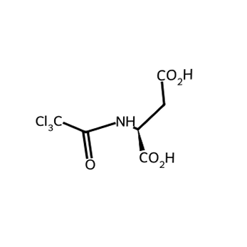 O=C(O)C[C@H](NC(=O)C(Cl)(Cl)Cl)C(=O)O